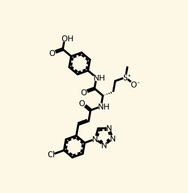 C[S+]([O-])CC[C@H](NC(=O)C=Cc1cc(Cl)ccc1-n1cnnn1)C(=O)Nc1ccc(C(=O)O)cc1